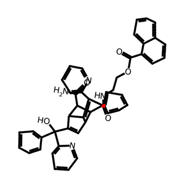 NC(=O)C1C2C(C(O)(c3ccccc3)c3ccccn3)=CC(C2=C(c2ccccc2)c2ccccn2)C1C(=O)NCCOC(=O)c1cccc2ccccc12